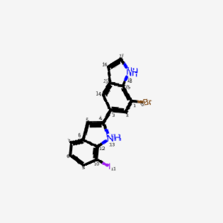 Brc1cc(-c2cc3cccc(I)c3[nH]2)cc2cc[nH]c12